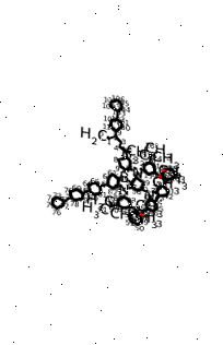 C=C/C(=C\C=C(/C)c1ccc2c(c1)N(c1cc(C(C)(C)C)cc(C(C)(C)C)c1)c1cc(-n3c4cc(-c5ccccc5)ccc4c4ccc(-c5ccccc5)cc43)cc3c1B2c1ccc(-c2ccc(-c4ccc(-c5ccccc5)cc4)cc2)cc1N3c1cc(C(C)(C)C)cc(C(C)(C)C)c1)c1ccc(-c2ccccc2)cc1